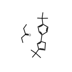 CC(C)(C)C1=CCC(c2ccc(C(C)(C)C)cc2)=C1.CCC(=O)CC